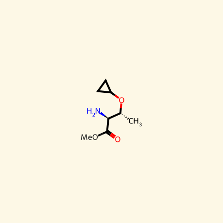 COC(=O)[C@@H](N)[C@@H](C)OC1CC1